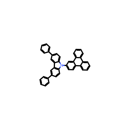 c1ccc(-c2ccc3c(c2)c2cc(-c4ccccc4)ccc2n3-c2ccc3c4ccccc4c4ccccc4c3c2)cc1